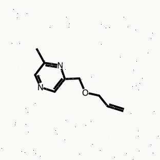 C=CCOCc1cncc(C)n1